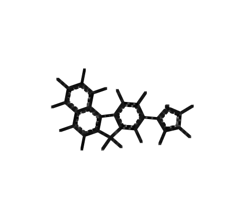 Cc1sc(-c2c(C)c(C)c3c(c2C)C(C)(C)c2c(C)c(C)c4c(C)c(C)c(C)c(C)c4c2-3)c(C)c1C